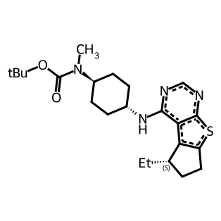 CC[C@H]1CCc2sc3ncnc(N[C@H]4CC[C@H](N(C)C(=O)OC(C)(C)C)CC4)c3c21